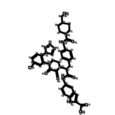 O=C(O)c1cc2cc(NC(=O)[C@H](Cc3ccc(NC(=O)N4CCC(CO)CC4)cc3)N3CCN(c4cc(Cl)ccc4-n4cnnn4)C(=O)C3=O)ccc2[nH]1